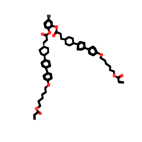 C=CC(=O)OCCCCCCOc1ccc(-c2ccc(C3CCC(CCC(=O)Oc4cc(CC)ccc4OC(=O)CC[C@H]4CC[C@H](c5ccc(-c6ccc(OCCCCCCOC(=O)C=C)cc6)cc5)CC4)CC3)cc2)cc1